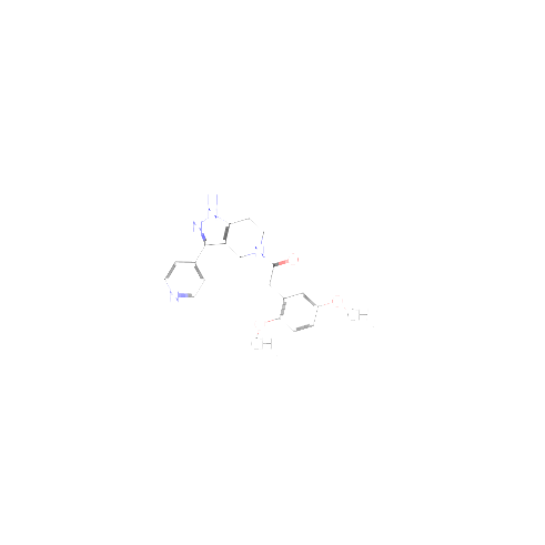 COc1ccc(OC)c(CC(=O)N2CCc3[nH]nc(-c4ccncc4)c3C2)c1